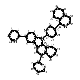 c1ccc(-c2ccc3c(c2)c2cc(-c4ccccn4)c4ccccc4c2n3-c2ccc(-c3nccc4ccccc34)cn2)nc1